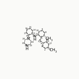 Cc1ccc(Sc2ccccc2Nc2ccccc2N2CCNCC2)c(C)c1